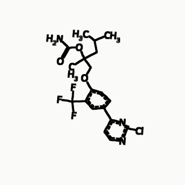 CC(C)CC(C)(COc1ccc(-c2ccnc(Cl)n2)cc1C(F)(F)F)OC(N)=O